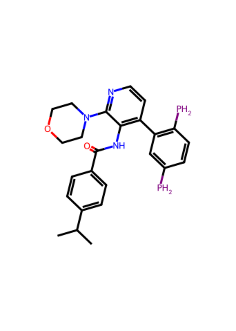 CC(C)c1ccc(C(=O)Nc2c(-c3cc(P)ccc3P)ccnc2N2CCOCC2)cc1